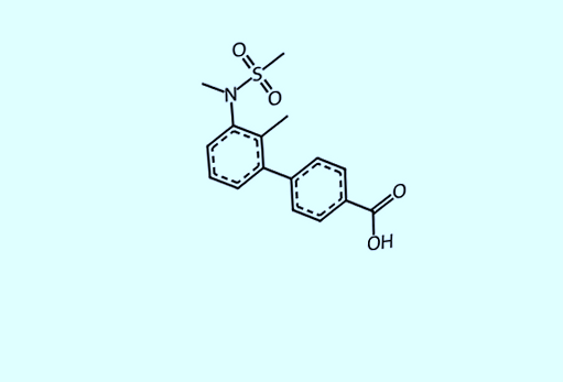 Cc1c(-c2ccc(C(=O)O)cc2)cccc1N(C)S(C)(=O)=O